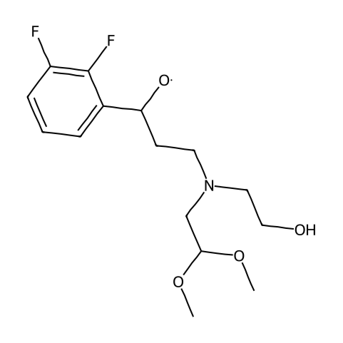 COC(CN(CCO)CCC([O])c1cccc(F)c1F)OC